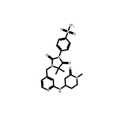 CN1CCC(Nc2cc(CN3C(=O)N(c4ccc(S(=O)(=O)C(F)(F)F)cc4)C(=O)C3(C)C)ccn2)CC1=O